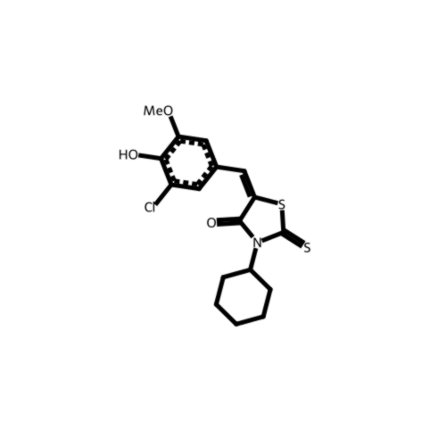 COc1cc(/C=C2/SC(=S)N(C3CCCCC3)C2=O)cc(Cl)c1O